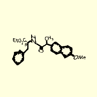 CCOC(=O)[C@@H](Cc1ccccc1)NC(=O)C(C)c1ccc2cc(OC)ccc2c1